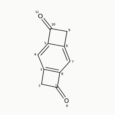 O=C1Cc2cc3c(cc21)CC3=O